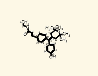 CCOC(=O)/C=C/c1ccc(C(=C2CC(C)(C)OC(C)(C)C2)c2ccc(O)cc2)cc1